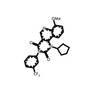 COc1cccc2c1ncc1c(=O)n(-c3cccc(C(F)(F)F)c3)c(=O)n(C3CCCC3)c12